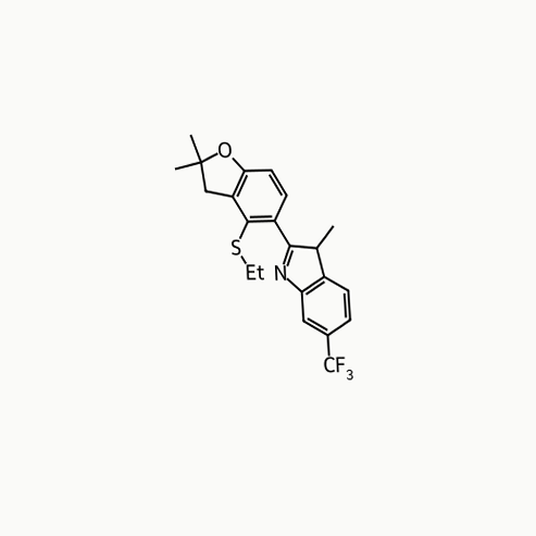 CCSc1c(C2=Nc3cc(C(F)(F)F)ccc3C2C)ccc2c1CC(C)(C)O2